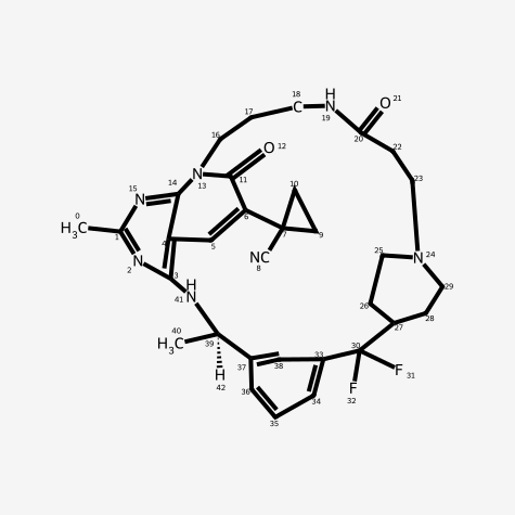 Cc1nc2c3cc(C4(C#N)CC4)c(=O)n(c3n1)CCCNC(=O)CCN1CCC(CC1)C(F)(F)c1cccc(c1)[C@@H](C)N2